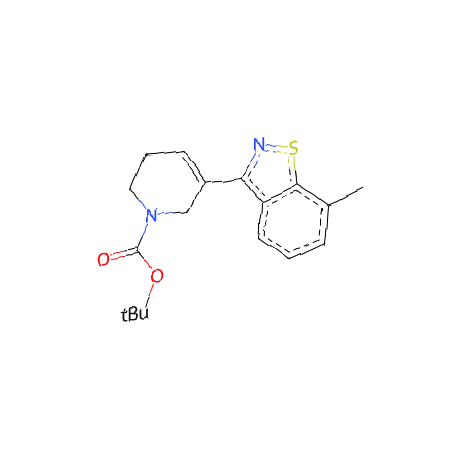 Cc1cccc2c(C3=CCCN(C(=O)OC(C)(C)C)C3)nsc12